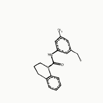 O=C(Nc1cc(CF)cc(C(F)(F)F)c1)N1CCCc2ccccc21